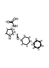 O=C(O)N[C@H]1CCN[C@H]1CO[C@H]1CC[C@@H](c2ccccc2)CC1